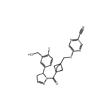 N#Cc1cnc(OCC23CC(C(=O)N4N=CCC4c4ccc(F)c(CO)c4)(C2)C3)cn1